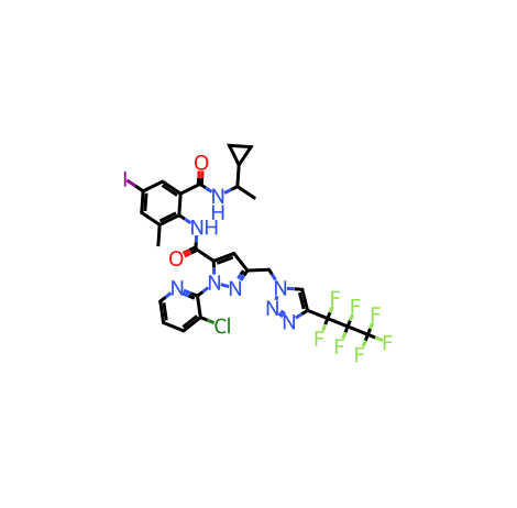 Cc1cc(I)cc(C(=O)NC(C)C2CC2)c1NC(=O)c1cc(Cn2cc(C(F)(F)C(F)(F)C(F)(F)F)nn2)nn1-c1ncccc1Cl